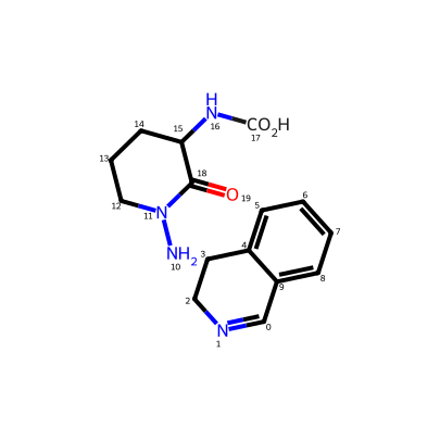 C1=NCCc2ccccc21.NN1CCCC(NC(=O)O)C1=O